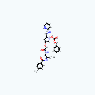 Cc1ccc(C(=O)NC(CNC(=O)COC2CC(CNc3ccccn3)N(OC(=O)OCc3ccccc3)C2)C(=O)O)cc1